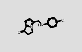 O=C1CCn2c(CNc3ccc(Cl)cc3)ccc21